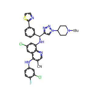 CC(C)(C)N1CCC(n2cc([C@@H](Nc3cc(Cl)cc4c(Nc5ccc(F)c(Cl)c5)c(C#N)cnc34)c3cccc(-c4nccs4)c3)nn2)CC1